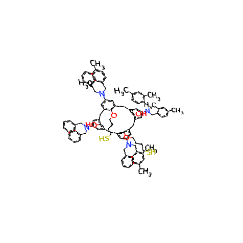 Cc1ccc(CN(Cc2ccccc2)c2cc3c(OCCCCS)c(c2)Cc2cc(N(Cc4ccc(C)cc4C)Cc4ccc(C)cc4C)cc(c2O)Cc2cc(N(Cc4ccccc4)Cc4ccc(C)cc4C)cc(c2OCCCCS)Cc2cc(N(Cc4ccccc4)Cc4ccccc4)cc(c2O)C3)c(C)c1